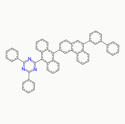 c1ccc(-c2cccc(-c3cc4ccc(-c5c6ccccc6c(-c6nc(-c7ccccc7)nc(-c7ccccc7)n6)c6ccccc56)cc4c4ccccc34)c2)cc1